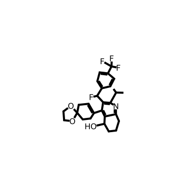 CC(C)c1nc2c(c(C3=CCC4(CC3)OCCO4)c1C(F)c1ccc(C(F)(F)F)cc1)C(O)CCC2